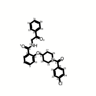 O=C(CNC(=O)c1ccccc1OC1CCN(C(=O)c2ccc(Cl)cc2)CC1)c1ccccc1